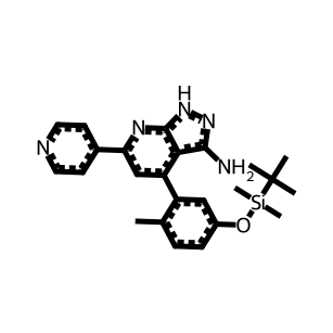 Cc1ccc(O[Si](C)(C)C(C)(C)C)cc1-c1cc(-c2ccncc2)nc2[nH]nc(N)c12